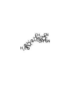 CC1CC(COc2ccc(S(C)(=O)=O)cc2)CN1CC(O)c1cc(C#N)cc(C#N)c1